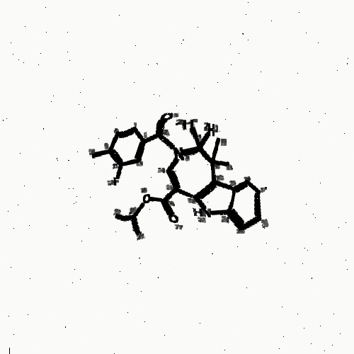 [2H]C1([2H])N(C(=O)c2ccc(C)c(F)c2)C=C(C(=O)OC(C)C)c2[nH]c3ccccc3c2C1(C)C